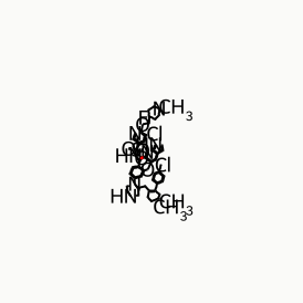 CN1CCC(F)(COc2ncc(S(=O)(=O)NC(=O)c3ccc(N4CCNCC4CC4=C(c5ccc(Cl)cc5)CC(C)(C)CC4)cc3Oc3cnc4[nH]ccc4c3)cc2Cl)CC1